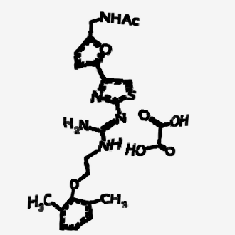 CC(=O)NCc1ccc(-c2csc(/N=C(\N)NCCOc3c(C)cccc3C)n2)o1.O=C(O)C(=O)O